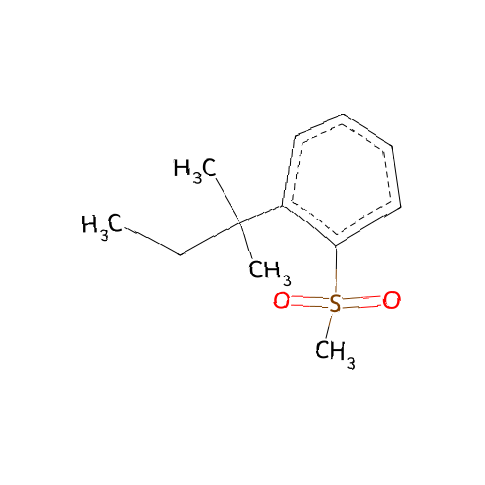 CCC(C)(C)c1ccccc1S(C)(=O)=O